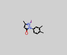 Cc1ccc(-n2c(=O)cc(C)n2I)cc1C